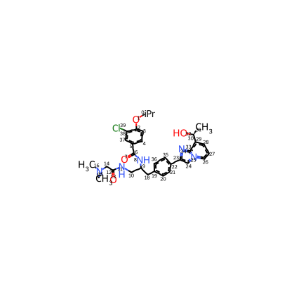 CC(C)Oc1ccc(C(=O)NC(CNC(=O)CN(C)C)Cc2ccc(-c3cn4cccc([C@H](C)O)c4n3)cc2)cc1Cl